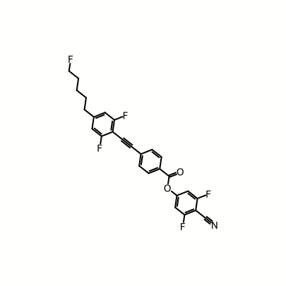 N#Cc1c(F)cc(OC(=O)c2ccc(C#Cc3c(F)cc(CCCCCF)cc3F)cc2)cc1F